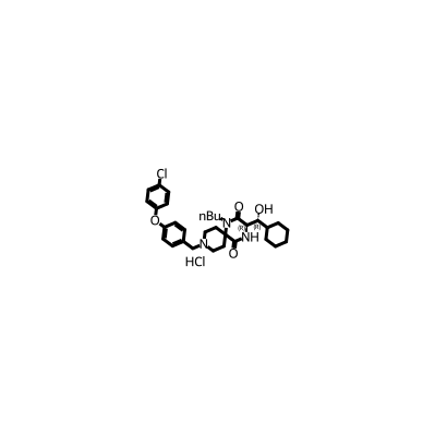 CCCCN1C(=O)[C@@H]([C@H](O)C2CCCCC2)NC(=O)C12CCN(Cc1ccc(Oc3ccc(Cl)cc3)cc1)CC2.Cl